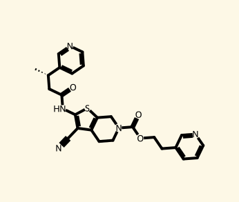 C[C@@H](CC(=O)Nc1sc2c(c1C#N)CCN(C(=O)OCCc1cccnc1)C2)c1cccnc1